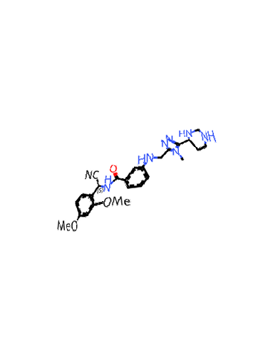 COc1ccc([C@@H](C#N)NC(=O)c2cccc(NCc3nnc(C4CCNCN4)n3C)c2)c(OC)c1